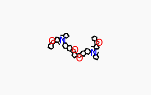 Cc1ccccc1N(c1ccc2cc3c(cc2c1)oc1c3ccc2oc3cc4cc(N(c5ccccc5C)c5ccc6oc7ccccc7c6c5C)ccc4cc3c21)c1ccc2oc3ccccc3c2c1C